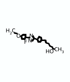 C=CCOc1ccc(-c2ncc(-c3ccc(C=CCCCC(C)O)cc3)cn2)c(F)c1